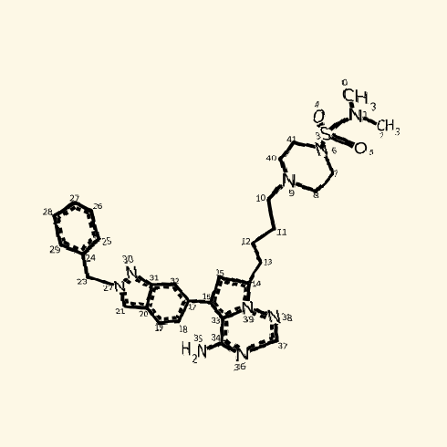 CN(C)S(=O)(=O)N1CCN(CCCCc2cc(-c3ccc4cn(Cc5ccccc5)nc4c3)c3c(N)ncnn23)CC1